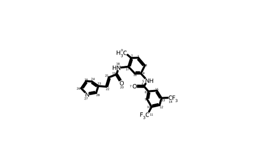 Cc1ccc(NC(=O)c2cc(C(F)(F)F)cc(C(F)(F)F)c2)cc1NC(=O)C=Cc1cccnc1